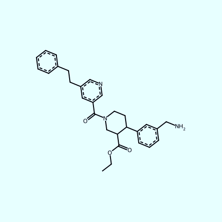 CCOC(=O)C1CN(C(=O)c2cncc(CCc3ccccc3)c2)CCC1c1cccc(CN)c1